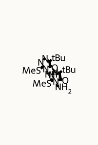 CSc1nnc(C(C)(C)C)c(=O)n1N.CSc1nnc(C(C)(C)C)c(=O)n1N